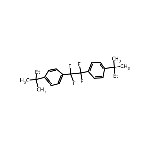 CCC(C)(C)c1ccc(C(F)(F)C(F)(F)c2ccc(C(C)(C)CC)cc2)cc1